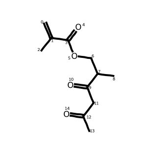 C=C(C)C(=O)OCC(C)C(=O)CC(C)=O